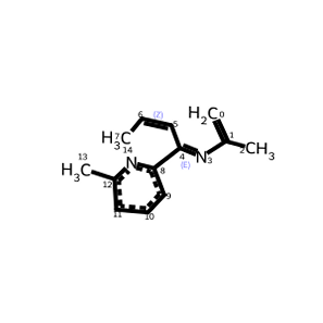 C=C(C)/N=C(\C=C/C)c1cccc(C)n1